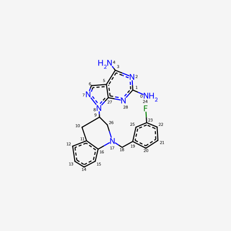 Nc1nc(N)c2cnn(C3Cc4ccccc4N(Cc4cccc(F)c4)C3)c2n1